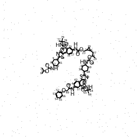 CC(C)OC(=O)NC1CCC(c2ncc(-c3ccc(NC(=O)OCC4CC4CC(C)OC(=O)NC4CCC(c5ncc(-c6ccc(NC(=O)COc7ccccc7)cc6S(=O)(=O)NC(C)(C)C)s5)CC4)cc3S(=O)(=O)NC(C)(C)C)s2)CC1